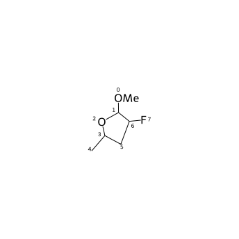 COC1OC(C)CC1F